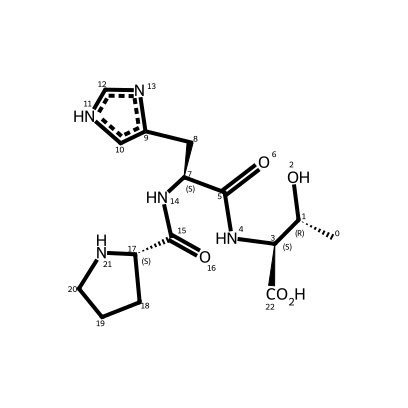 C[C@@H](O)[C@H](NC(=O)[C@H](Cc1c[nH]cn1)NC(=O)[C@@H]1CCCN1)C(=O)O